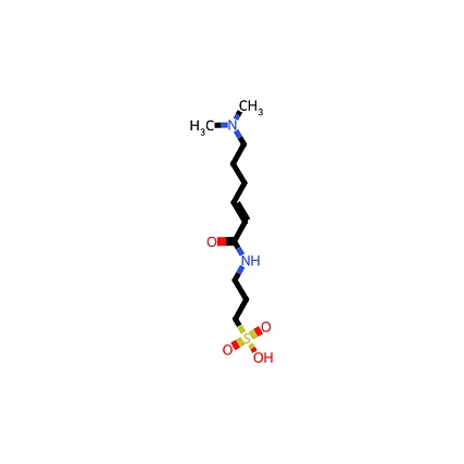 CN(C)CCCC=CC(=O)NCCCS(=O)(=O)O